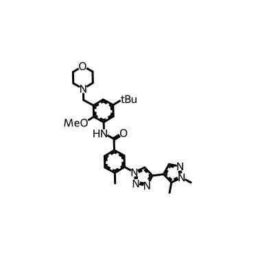 COc1c(CN2CCOCC2)cc(C(C)(C)C)cc1NC(=O)c1ccc(C)c(-n2cc(-c3cnn(C)c3C)nn2)c1